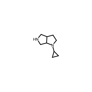 C1CN(C2CC2)C2CNCC12